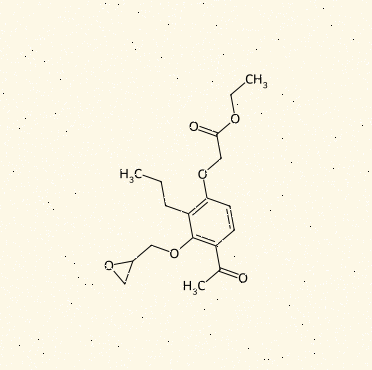 CCCc1c(OCC(=O)OCC)ccc(C(C)=O)c1OCC1CO1